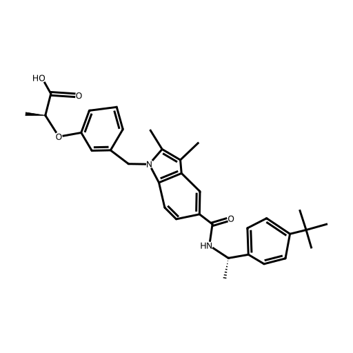 Cc1c(C)n(Cc2cccc(O[C@@H](C)C(=O)O)c2)c2ccc(C(=O)N[C@@H](C)c3ccc(C(C)(C)C)cc3)cc12